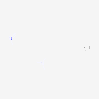 Cc1ccc(CN2CCCCC(C(=O)O)CC2)cn1